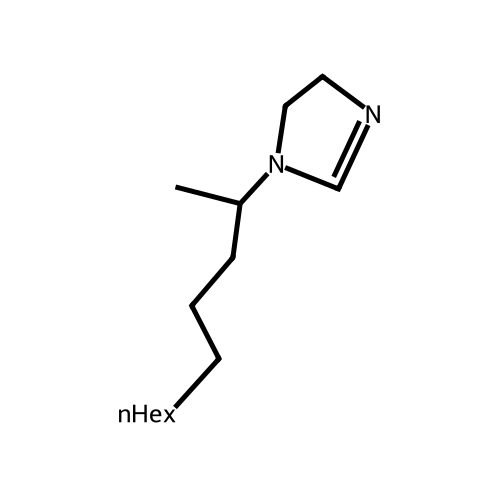 CCCCCCCCCC(C)N1C=NCC1